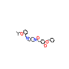 COc1cc(CC(=O)N2CCC3(CCN(Cc4ccccc4OCC(C)C)C3)CC2)ccc1OCc1ccccc1